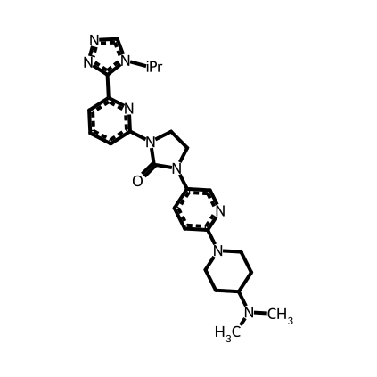 CC(C)n1cnnc1-c1cccc(N2CCN(c3ccc(N4CCC(N(C)C)CC4)nc3)C2=O)n1